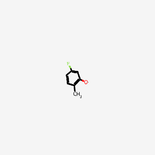 Cc1ccc(F)cc1[O]